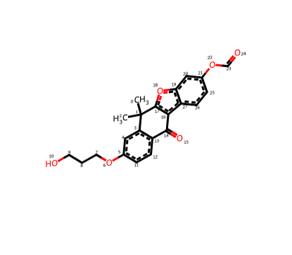 CC1(C)c2cc(OCCCO)ccc2C(=O)c2c1oc1cc(OC=O)ccc21